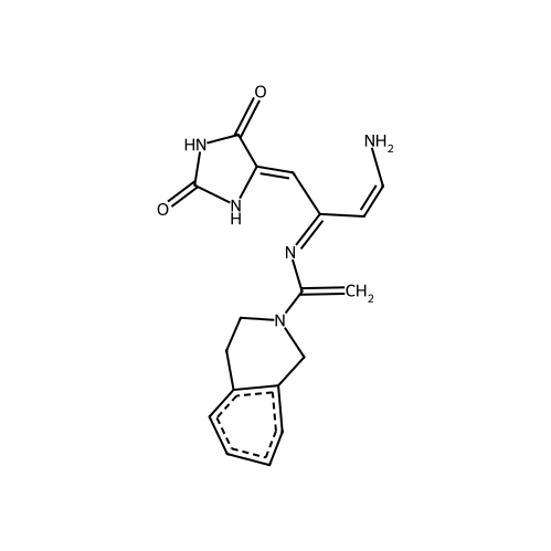 C=C(/N=C(\C=C/N)/C=C1\NC(=O)NC1=O)N1CCc2ccccc2C1